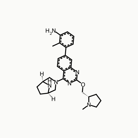 Cc1c(N)cccc1-c1ccc2c(N3C[C@H]4CC[C@@H](C3)N4)nc(OC[C@@H]3CCCN3C)nc2c1